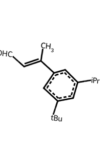 CC(=CC=O)c1cc(C(C)C)cc(C(C)(C)C)c1